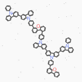 c1ccc(-n2c3ccccc3c3cc(-c4ccc5c(c4)c4ccccc4n5-c4ccc(-c5cccc6c5oc5cccc(-c7ccc(-n8c9ccccc9c9cc(-c%10ccc%11c(c%10)c%10cc(-c%12ccc%13c(c%12)c%12ccccc%12n%13-c%12ccccc%12)ccc%10n%11-c%10ccc(-c%11cccc%12c%11oc%11ccccc%11%12)cc%10)ccc98)cc7)c56)cc4)ccc32)cc1